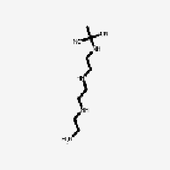 CC(C#N)(C#N)NCCNCCNCCN